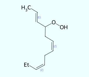 C/C=C/C(C/C=C\C/C=C\CC)OO